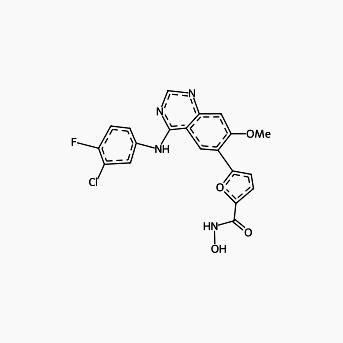 COc1cc2ncnc(Nc3ccc(F)c(Cl)c3)c2cc1-c1ccc(C(=O)NO)o1